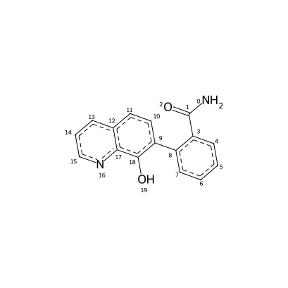 NC(=O)c1ccccc1-c1ccc2cccnc2c1O